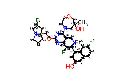 CCc1c(F)ccc2cc(O)cc(-c3ncc4c(N5CCOC[C@@](C)(O)C5)nc(OC[C@@]56CCCN5C[C@H](F)C6)nc4c3F)c12